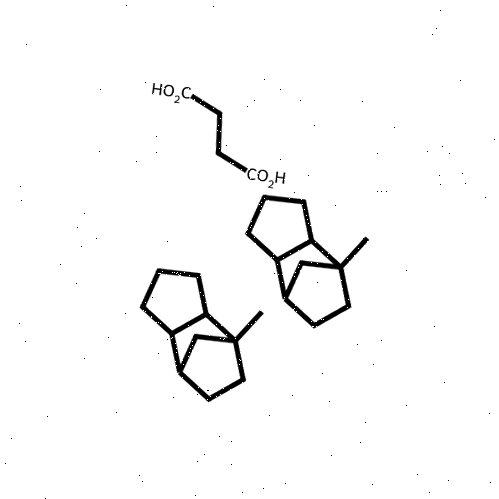 CC12CCC(C1)C1CCCC12.CC12CCC(C1)C1CCCC12.O=C(O)CCC(=O)O